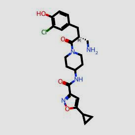 NC[C@@H](Cc1ccc(O)c(Cl)c1)C(=O)N1CCC(NC(=O)c2cc(C3CC3)on2)CC1